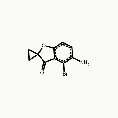 Nc1ccc2c(c1Br)C(=O)C1(CC1)O2